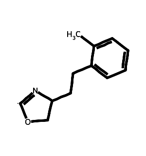 Cc1ccccc1CCC1CO[C]=N1